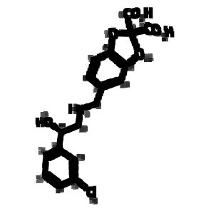 O=C(O)C1(C(=O)O)Oc2ccc(CNC[C@H](O)c3cccc(Cl)c3)cc2O1